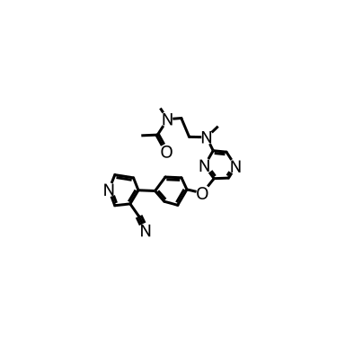 CC(=O)N(C)CCN(C)c1cncc(Oc2ccc(-c3ccncc3C#N)cc2)n1